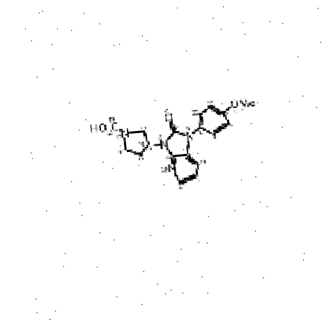 COc1ccc(-n2c(=O)n([C@H]3CCN(C(=O)O)C3)c3ncccc32)cc1